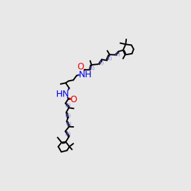 CC1=C(/C=C/C(C)=C/C=C/C(C)=C/C(=O)NCCCC(C)CNC(=O)/C=C(C)/C=C/C=C(C)/C=C/C2=C(C)CCCC2(C)C)C(C)(C)CCC1